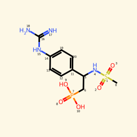 CS(=O)(=O)NC(CP(=O)(O)O)c1ccc(NC(=N)N)cc1